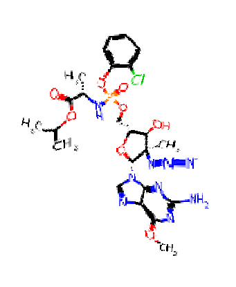 COc1nc(N)nc2c1ncn2[C@@H]1O[C@H](COP(=O)(N[C@@H](C)C(=O)OC(C)C)Oc2ccccc2Cl)[C@@H](O)[C@@]1(C)N=[N+]=[N-]